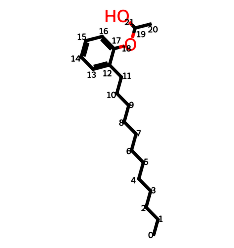 CCCCCCCCCCCCc1ccccc1OC(C)O